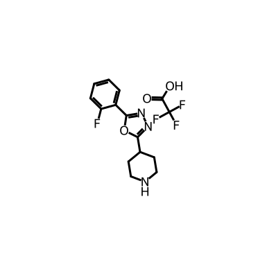 Fc1ccccc1-c1nnc(C2CCNCC2)o1.O=C(O)C(F)(F)F